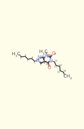 CCCCCCn1cc2c(=O)n(CCCCCC)c(=O)n(C)c2n1